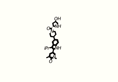 Cc1cc(-c2[nH]c3ccc(C4CCN(C(=O)[C@@H]5C[C@@H](O)CN5)CC4)cc3c2C(C)C)cn(C)c1=O